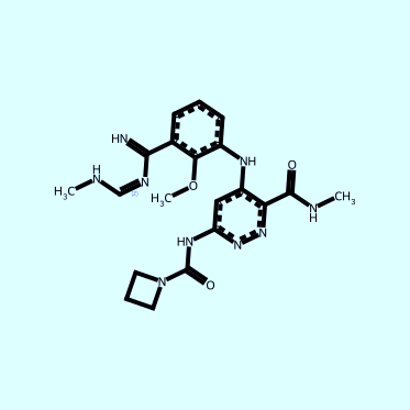 CN/C=N\C(=N)c1cccc(Nc2cc(NC(=O)N3CCC3)nnc2C(=O)NC)c1OC